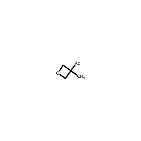 CC(=O)C1(C)COC1